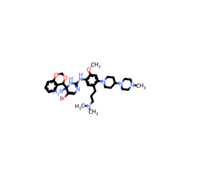 COc1cc(N2CCC(N3CCN(C)CC3)CC2)c(CCCN(C)C)cc1NC1=NC=C(Br)C(N)(C2OCOc3ccccc32)N1